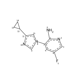 Nc1ncc(F)cc1-n1cnc(C2CC2)c1